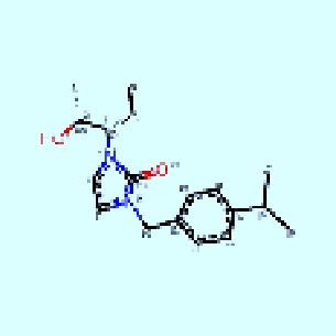 CC[C@@H]([C@@H](C)O)n1ccn(Cc2ccc(C(C)C)cc2)c1=O